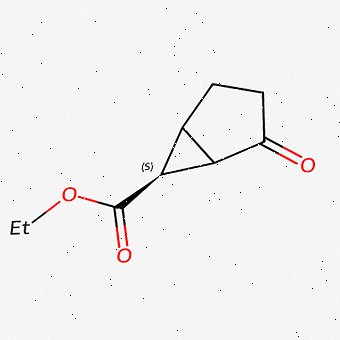 CCOC(=O)[C@H]1C2CCC(=O)C21